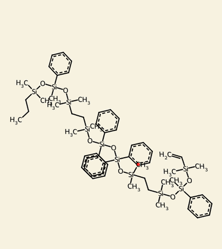 C=C[Si](C)(C)O[Si](C)(O[Si](C)(C)CC[Si](C)(C)O[Si](O[Si](O[Si](C)(C)CC[Si](C)(C)O[Si](C)(O[Si](C)(C)CCC)c1ccccc1)(c1ccccc1)c1ccccc1)(c1ccccc1)c1ccccc1)c1ccccc1